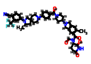 Cc1cc2c(cc1C(=O)N(C=O)C1CCC(=O)NC1=O)CN(C1CCN(C(=O)c3ccc(N4CCC5(CC4)CC(C)N(c4ccc(C#N)c(C(F)(F)F)c4)C5)cc3)CC1)C2